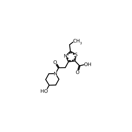 CCc1nc(CC(=O)N2CCC(O)CC2)c(C(=O)O)s1